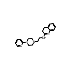 c1ccc(N2CCN(CCNC3=Nc4ccccc4CC3)CC2)nc1